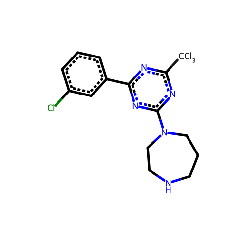 Clc1cccc(-c2nc(N3CCCNCC3)nc(C(Cl)(Cl)Cl)n2)c1